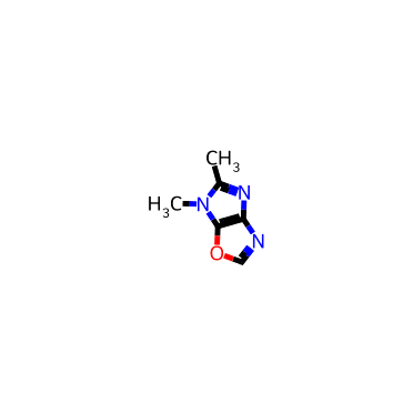 Cc1nc2ncoc2n1C